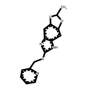 CC1Oc2cc3nc(SCc4ccccn4)[nH]c3cc2O1